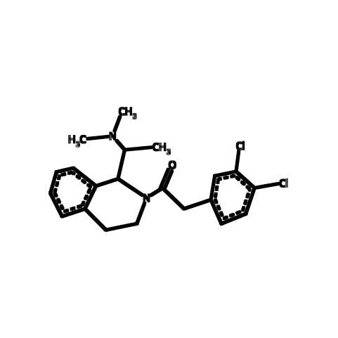 CC(C1c2ccccc2CCN1C(=O)Cc1ccc(Cl)c(Cl)c1)N(C)C